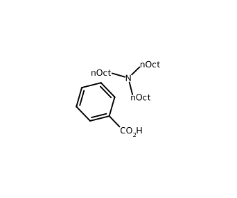 CCCCCCCCN(CCCCCCCC)CCCCCCCC.O=C(O)c1ccccc1